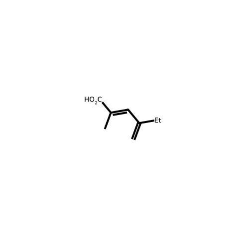 C=C(C=C(C)C(=O)O)CC